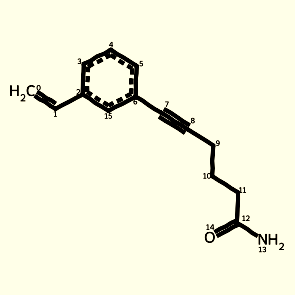 C=Cc1cccc(C#CCCCC(N)=O)c1